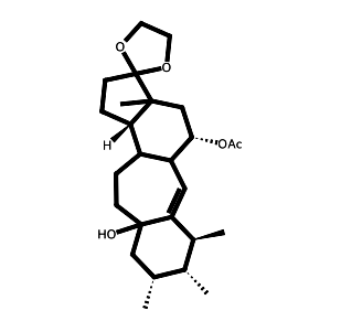 CC(=O)O[C@H]1CC2(C)[C@@H](CCC23OCCO3)C2CCC3(O)C[C@@H](C)[C@@H](C)[C@H](C)C3=CC21